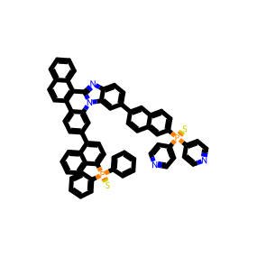 S=P(c1ccncc1)(c1ccncc1)c1ccc2cc(-c3ccc4nc5c6c7ccccc7ccc6c6ccc(-c7ccc(P(=S)(c8ccccc8)c8ccccc8)c8ccccc78)cc6n5c4c3)ccc2c1